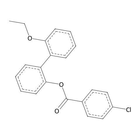 CCOc1ccccc1-c1ccccc1OC(=O)c1ccc(Cl)cc1